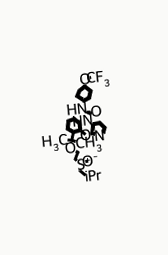 CC(C)C[S+]([O-])CCOC(C)(C)c1ccccc1Oc1ncccc1NC(=O)Nc1ccc(OC(F)(F)F)cc1